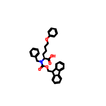 O=C(O)[C@H](CCCCOc1ccccc1)N(Cc1ccccc1)C(=O)OCC1c2ccccc2-c2ccccc21